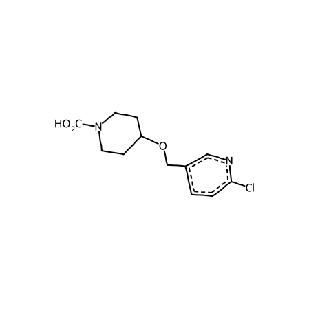 O=C(O)N1CCC(OCc2ccc(Cl)nc2)CC1